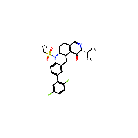 CCS(=O)(=O)N[C@H]1CCC2=C(C(=O)[C@@H](C(C)C)N=C2)[C@H]1Cc1cccc(-c2cc(F)ccc2F)c1